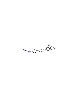 N#Cc1ccc(C2CCC(CCC3CCC(C/C=C/CCF)CC3)CC2)cc1F